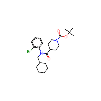 CC(C)(C)OC(=O)N1CCC(C(=O)N(CC2CCCCC2)c2ccccc2Br)CC1